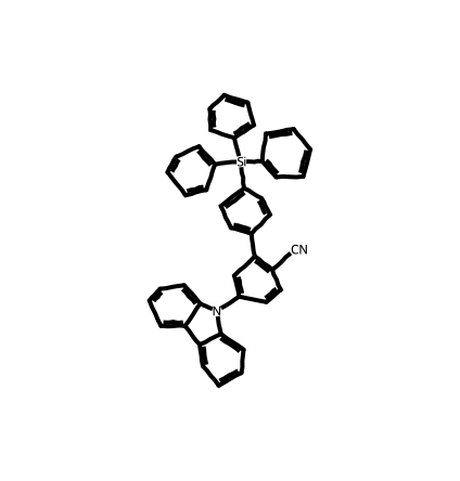 N#Cc1ccc(-n2c3ccccc3c3ccccc32)cc1-c1ccc([Si](c2ccccc2)(c2ccccc2)c2ccccc2)cc1